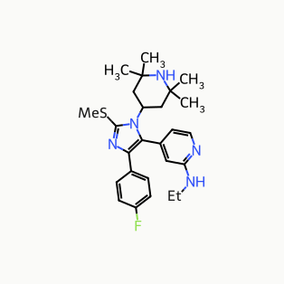 CCNc1cc(-c2c(-c3ccc(F)cc3)nc(SC)n2C2CC(C)(C)NC(C)(C)C2)ccn1